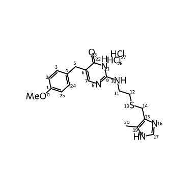 COc1ccc(Cc2cnc(NCCSCc3nc[nH]c3C)[nH]c2=O)cc1.Cl.Cl